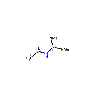 CN[SiH](NC)N[SiH2]C